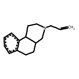 C=CCN1CCC2c3ccccc3CCC2C1